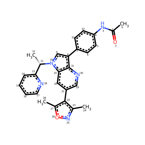 CC(=O)Nc1ccc(-c2cn([C@@H](C)c3ccccn3)c3cc(-c4c(C)noc4C)cnc23)cc1